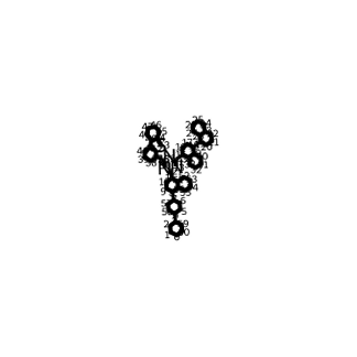 c1ccc(-c2ccc(-c3ccc(-c4nc(-c5ccc(-c6cccc7ccccc67)c6ccccc56)nc(-c5cccc6c5sc5ccccc56)n4)c4ccccc34)cc2)cc1